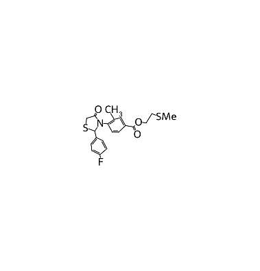 CSCCOC(=O)c1ccc(N2C(=O)CSC2c2ccc(F)cc2)c(C)c1